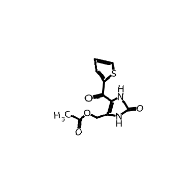 CC(=O)OCc1[nH]c(=O)[nH]c1C(=O)c1cccs1